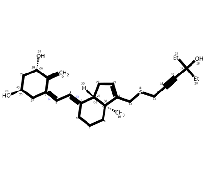 C=C1/C(=C\C=C2/CCC[C@]3(C)C(CSCC#CC(O)(CC)CC)=CC[C@@H]23)C[C@@H](O)C[C@@H]1O